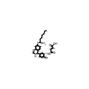 CCCCCCC(N)Oc1ccc2c(c1)N=CNC2c1ccc(Br)cc1.O=C(O)/C=C/C(=O)O